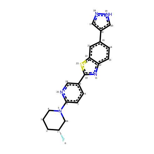 F[C@@H]1CCCN(c2ccc(-c3nc4ccc(-c5cn[nH]c5)cc4s3)cn2)C1